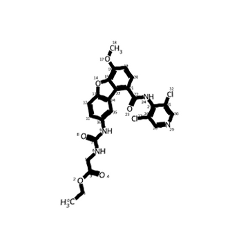 CCOC(=O)CNC(=O)Nc1ccc2oc3c(OC)ccc(C(=O)Nc4c(Cl)cncc4Cl)c3c2c1